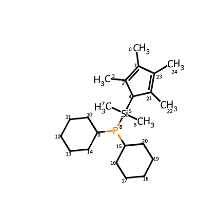 CC1=C(C)C([Si](C)(C)P(C2CCCCC2)C2CCCCC2)C(C)=C1C